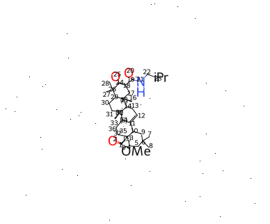 COC(=O)[C@]12CCC(C)(C)CC1C1=CCC3[C@@]4(C)CC(C(=O)NCC(C)C)C(=O)C(C)(C)C4CC[C@@]3(C)[C@]1(C)CC2